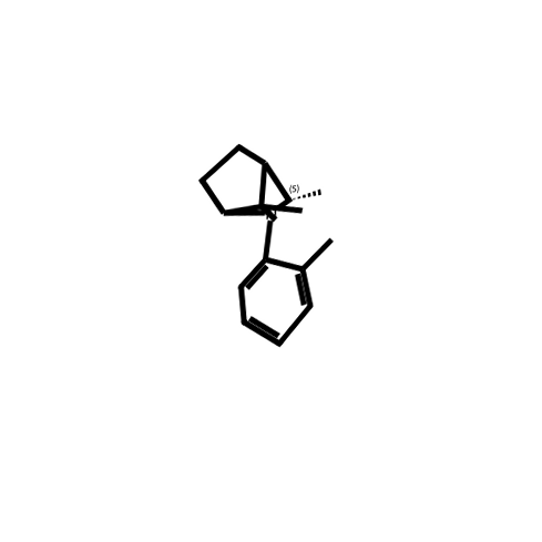 Cc1ccccc1N1C2CCC([C@@H]1C)C2(C)C